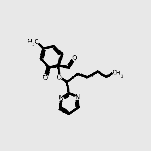 CCCCCC(OC1(C=O)C=CC(C)=CC1=O)c1ncccn1